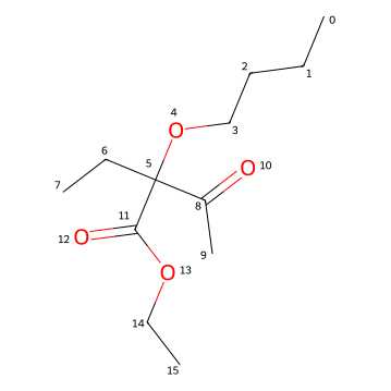 CCCCOC(CC)(C(C)=O)C(=O)OCC